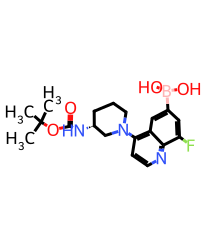 CC(C)(C)OC(=O)N[C@@H]1CCCN(c2ccnc3c(F)cc(B(O)O)cc23)C1